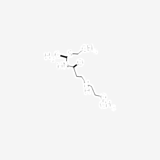 C=C(NC(=O)CCNCCOC)SCC